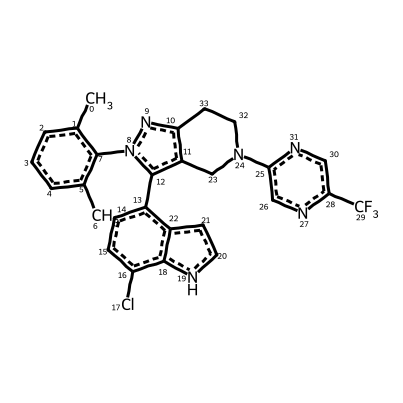 Cc1cccc(C)c1-n1nc2c(c1-c1ccc(Cl)c3[nH]ccc13)CN(c1cnc(C(F)(F)F)cn1)CC2